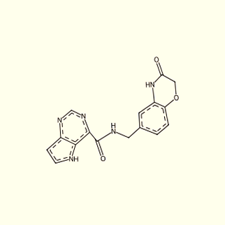 O=C1COc2ccc(CNC(=O)c3ncnc4cc[nH]c34)cc2N1